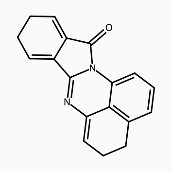 O=C1C2=CCCC=C2C2=NC3=CCCc4cccc(c43)N12